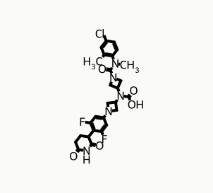 Cc1cc(Cl)ccc1N(C)C(=O)N1CC(N(C(=O)O)C2CN(c3cc(F)c(C4CCC(=O)NC4=O)c(F)c3)C2)C1